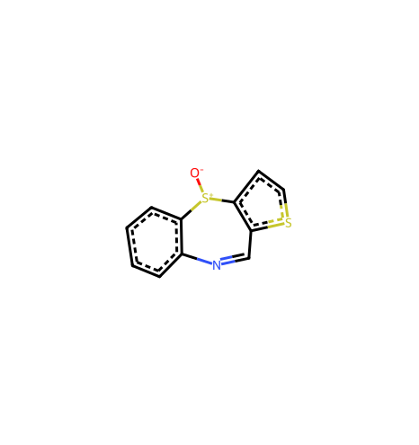 [O-][S+]1c2ccccc2N=Cc2sccc21